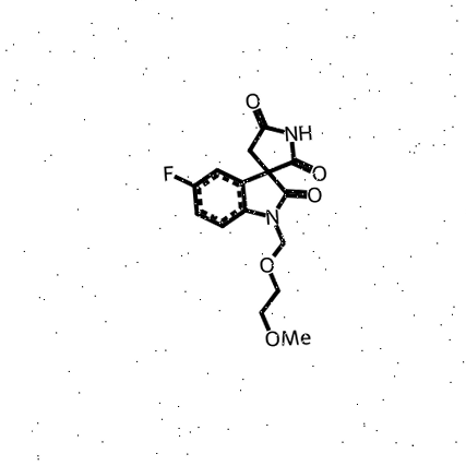 COCCOCN1C(=O)C2(CC(=O)NC2=O)c2cc(F)ccc21